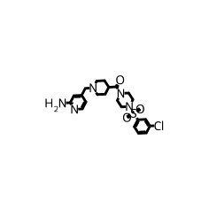 Nc1cc(CN2CCC(C(=O)N3CCN(S(=O)(=O)c4cccc(Cl)c4)CC3)CC2)ccn1